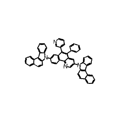 c1ccc(-c2c(-c3cccnc3)c3cc(-n4c5ccccc5c5c6ccccc6ccc54)ccc3c3ncc(-n4c5ccccc5c5c6ccccc6ccc54)cc23)cc1